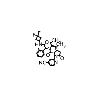 C=C/C(=C(\C)F)N(C(=O)[C@@H]1CCC(=O)N1c1cc(C#N)ccn1)[C@H](C(=O)NC1CC(F)(F)C1)c1ccccc1I